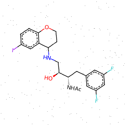 CC(=O)N[C@@H](Cc1cc(F)cc(F)c1)[C@@H](O)CNC1CCOc2ccc(I)cc21